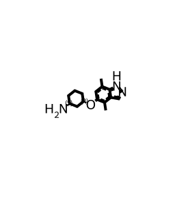 Cc1c(O[C@@H]2CCC[C@H](N)C2)cc(C)c2[nH]ncc12